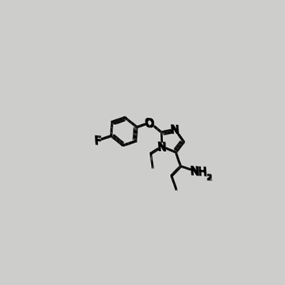 CCC(N)c1cnc(Oc2ccc(F)cc2)n1CC